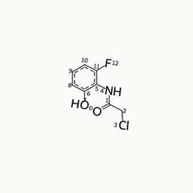 O=C(CCl)Nc1c(O)cccc1F